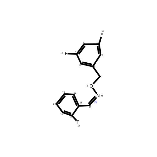 Fc1cc(F)cc(CO/N=[C]\c2ccccc2F)c1